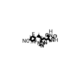 N#Cc1cc(F)c([C@@H]2CC2c2cc(-c3c[nH]c(=O)[nH]c3=O)nn3ncnc23)c(F)c1